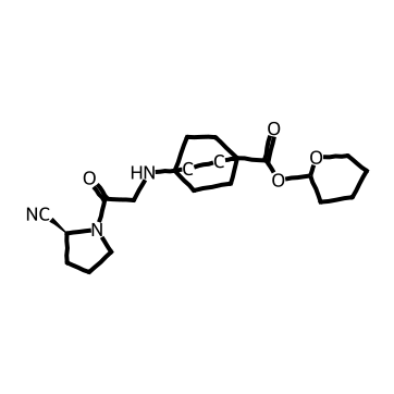 N#C[C@@H]1CCCN1C(=O)CNC12CCC(C(=O)OC3CCCCO3)(CC1)CC2